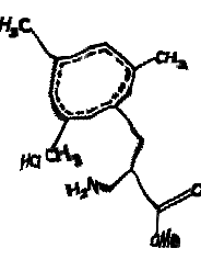 COC(=O)[C@@H](N)Cc1c(C)cc(C)cc1C.Cl